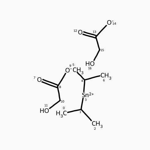 C[CH](C)[Sn+2][CH](C)C.O=C([O-])CO.O=C([O-])CO